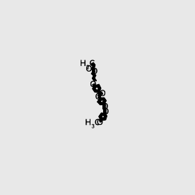 C=CC(=O)OCCCCOc1ccc(C(=O)Oc2ccc(OCOc3ccc(OC)cc3)cc2)cc1